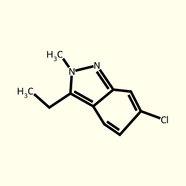 CCc1c2ccc(Cl)cc2nn1C